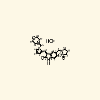 Cl.O=C1Nc2ccc(CN3CCCS3(=O)=O)cc2C1=Cc1cccn1CN1CCOCC1